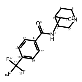 O=C(NC1CN2CCC1CC2)c1ccc(C(F)(F)F)cc1